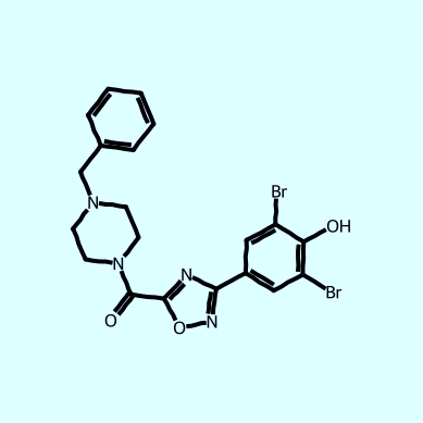 O=C(c1nc(-c2cc(Br)c(O)c(Br)c2)no1)N1CCN(Cc2ccccc2)CC1